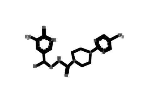 CCC(ONC(=O)N1CCN(c2ncc(C(F)(F)F)cn2)CC1)c1c[nH]c(=O)c(C(F)(F)F)c1